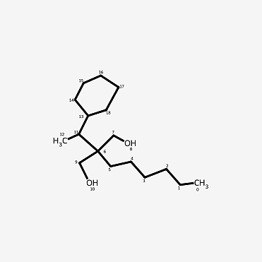 CCCCCCC(CO)(CO)C(C)C1CCCCC1